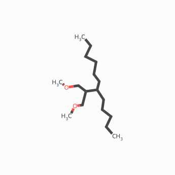 CCCCCCC(CCCCC)C(COC)COC